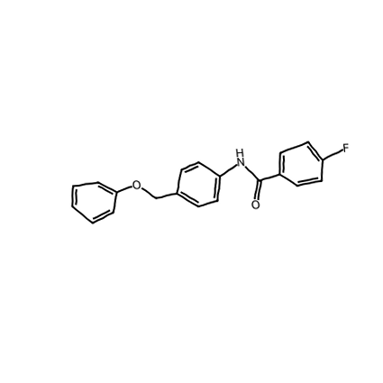 O=C(Nc1ccc(COc2ccccc2)cc1)c1ccc(F)cc1